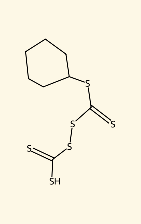 S=C(S)SSC(=S)SC1CCCCC1